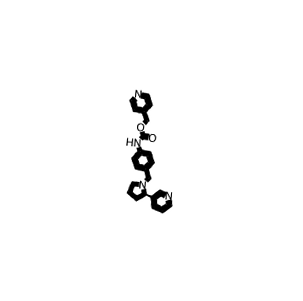 O=C(Nc1ccc(CN2CCC[C@@H]2c2cccnc2)cc1)OCc1ccncc1